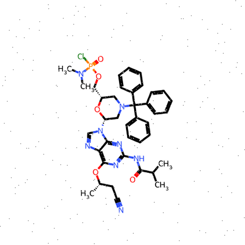 CC(C)C(=O)Nc1nc(O[C@@H](C)CC#N)c2ncn([C@H]3CN(C(c4ccccc4)(c4ccccc4)c4ccccc4)C[C@@H](COP(=O)(Cl)N(C)C)O3)c2n1